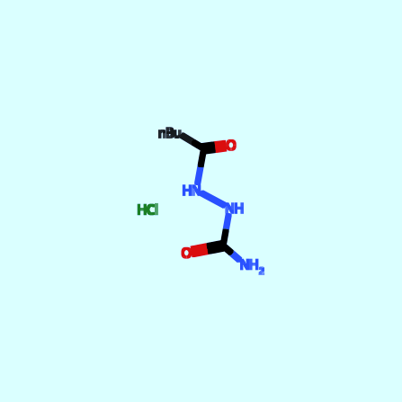 CCCCC(=O)NNC(N)=O.Cl